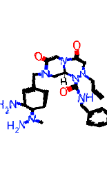 C=CCN1CC(=O)N2CC(=O)N(CC3=CC(N)C(N(C)N)C=C3)C[C@@H]2N1C(=O)NCc1ccccc1